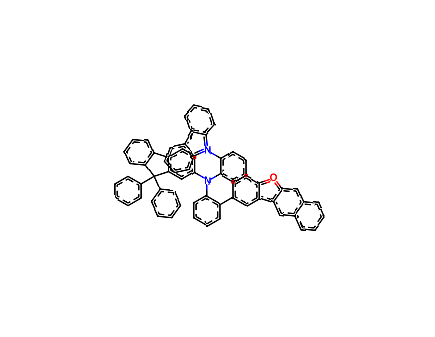 c1ccc(C2(c3ccccc3)c3ccccc3-c3ccc(N(c4ccccc4-c4ccc5oc6cc7ccccc7cc6c5c4)c4ccccc4-n4c5ccccc5c5ccccc54)cc32)cc1